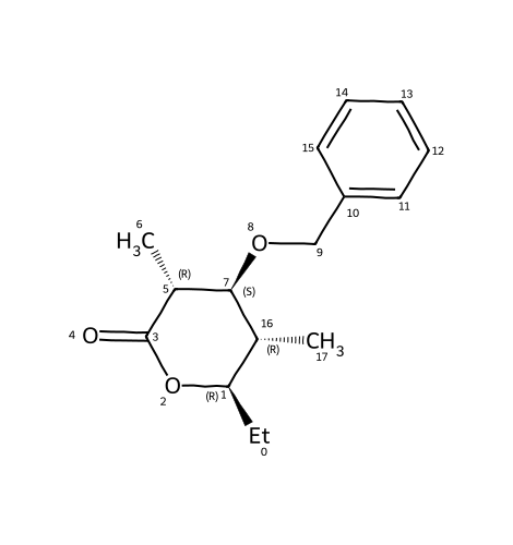 CC[C@H]1OC(=O)[C@H](C)[C@@H](OCc2ccccc2)[C@@H]1C